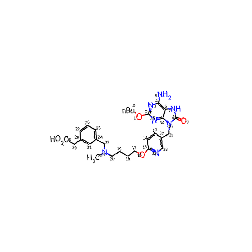 CCCCOc1nc(N)c2[nH]c(=O)n(Cc3ccc(OCCCCN(C)Cc4cccc(CC(=O)O)c4)nc3)c2n1